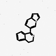 c1ccc2c(c1)CCN=C2c1ccc2cccn2c1